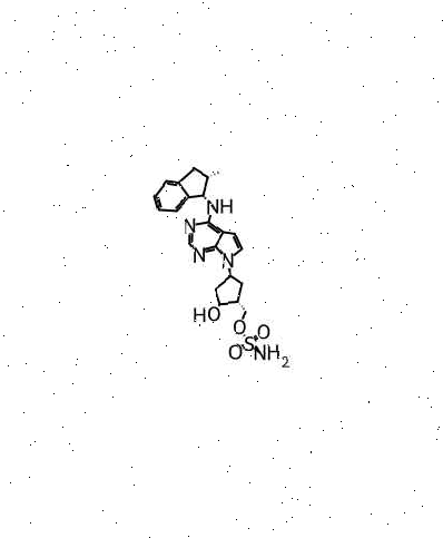 C[C@H]1Cc2ccccc2[C@H]1Nc1ncnc2c1ccn2[C@H]1C[C@H](COS(N)(=O)=O)[C@H](O)C1